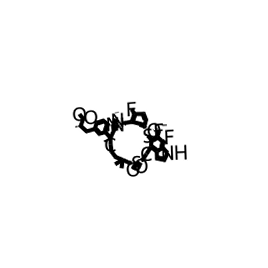 COC(=O)[C@@H](C)Cc1cccc([C@@]2(C)CCCC(C)(C)CS(=O)(=O)CCc3c(c(F)c(F)c4[nH]ccc34)[S+]([O-])c3ccc(F)c(c3)-c3nc2nn3C)c1